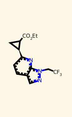 CCOC(=O)C1C[C@@H]1c1ccc2cnn(CC(F)(F)F)c2n1